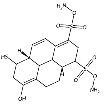 NOS(=O)(=O)C1=C2C=C[C@H]3C(S)CC(O)=C4CC[C@H](C2C43)C(S(=O)(=O)ON)C1